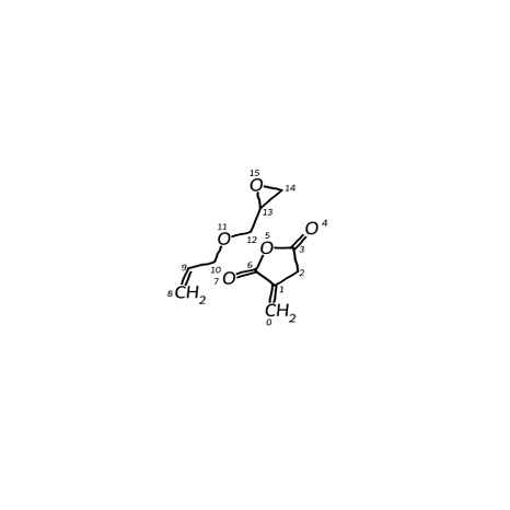 C=C1CC(=O)OC1=O.C=CCOCC1CO1